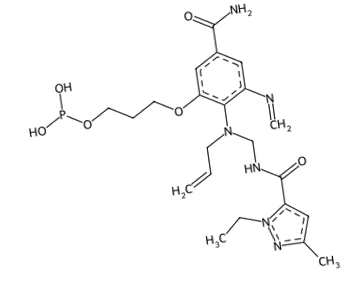 C=CCN(CNC(=O)c1cc(C)nn1CC)c1c(N=C)cc(C(N)=O)cc1OCCCOP(O)O